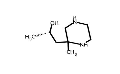 C[C@H](O)CC1(C)CNCCN1